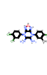 Cc1cc(N2C(N)=C(N)N(c3ccc(Cl)c(Cl)c3)c3nonc32)ccc1Cl